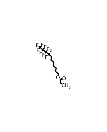 C=CC(=O)OCCCCCCCC(F)(F)C(F)(F)C(F)(F)C(F)(F)F